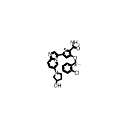 C[C@@H](Oc1cc(-c2cnc3ccc(N4CCC(O)C4)cn23)sc1C(N)=O)c1ccccc1Cl